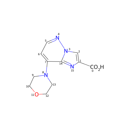 O=C(O)c1cn2nccc(N3CCOCC3)c2n1